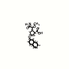 COC(C(N)=O)N1C[C@H](Oc2ccc3cnccc3c2)C[C@H]1C(=O)O